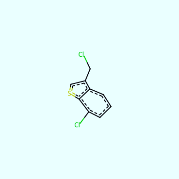 ClCc1csc2c(Cl)cccc12